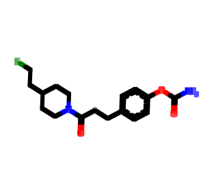 NC(=O)Oc1ccc(C[CH]C(=O)N2CCC(CCF)CC2)cc1